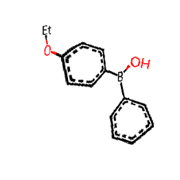 [CH2]COc1ccc(B(O)c2ccccc2)cc1